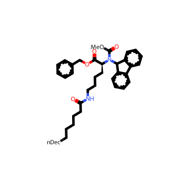 CCCCCCCCCCCCCCCC(=O)NCCCC[C@@H](C(=O)OCc1ccccc1)N(C(=O)OC)C1c2ccccc2-c2ccccc21